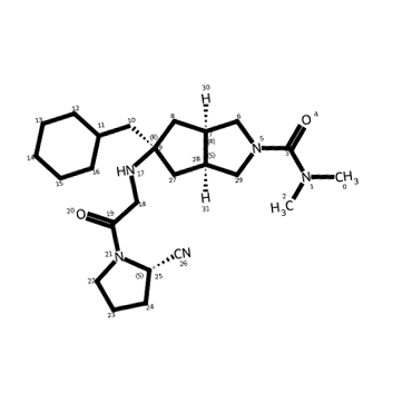 CN(C)C(=O)N1C[C@@H]2C[C@](CC3CCCCC3)(NCC(=O)N3CCC[C@H]3C#N)C[C@@H]2C1